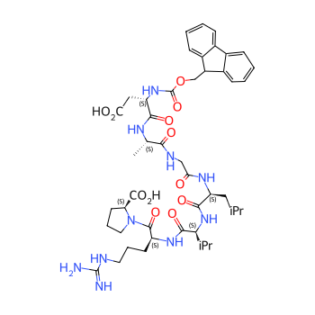 CC(C)C[C@H](NC(=O)CNC(=O)[C@H](C)NC(=O)[C@H](CC(=O)O)NC(=O)OCC1c2ccccc2-c2ccccc21)C(=O)N[C@H](C(=O)N[C@@H](CCCNC(=N)N)C(=O)N1CCC[C@H]1C(=O)O)C(C)C